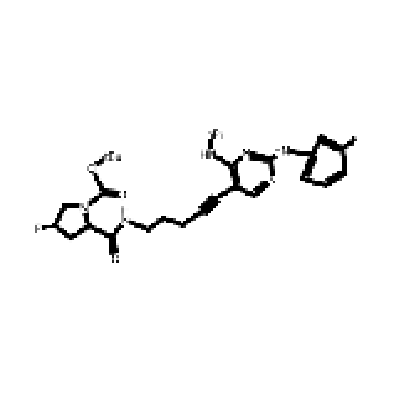 CCCNc1nc(Nc2cccc(F)c2)ncc1C#CCCCNC(=O)C1C[C@@H](F)CN1C(=O)OC(C)(C)C